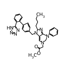 CCCCC1N=C2C(=CN(CC(=O)OC)CN2c2ccccc2)N1Cc1ccc(-c2ccccc2-c2nnn[nH]2)cc1